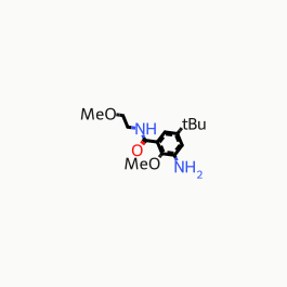 COCCNC(=O)c1cc(C(C)(C)C)cc(N)c1OC